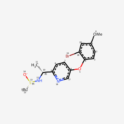 COc1ccc(Oc2ccc([C@@H](C)N[S@@+]([O-])C(C)(C)C)nc2)c(Br)c1